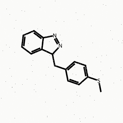 CSc1ccc(C[C]2N=Nc3ccccc32)cc1